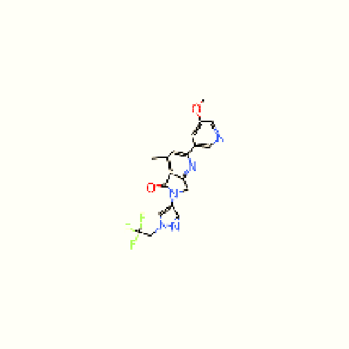 COc1cncc(-c2cc(C)c3c(n2)CN(c2cnn(CC(F)(F)F)c2)C3=O)c1